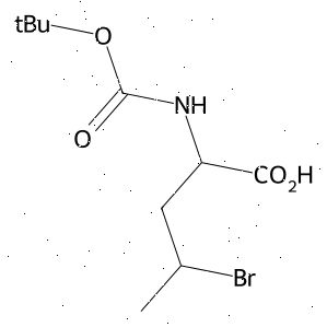 CC(Br)CC(NC(=O)OC(C)(C)C)C(=O)O